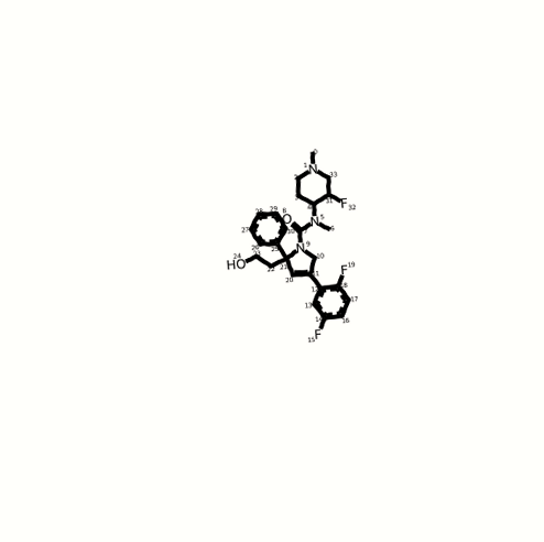 CN1CCC(N(C)C(=O)N2CC(c3cc(F)ccc3F)=CC2(CCO)c2ccccc2)C(F)C1